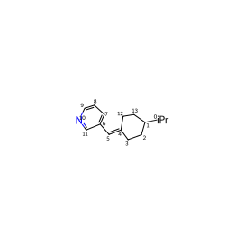 CC(C)C1CCC(=Cc2cccnc2)CC1